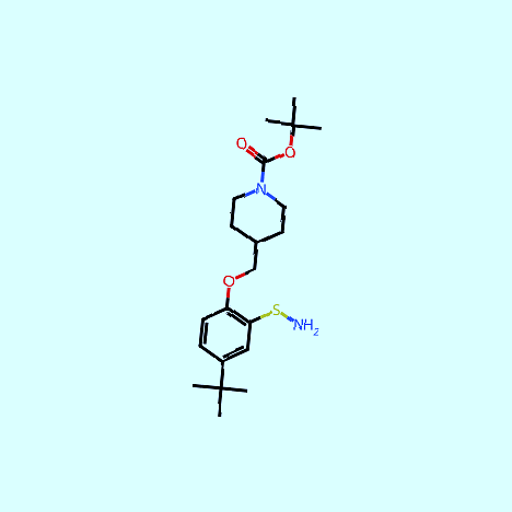 CC(C)(C)OC(=O)N1CCC(COc2ccc(C(C)(C)C)cc2SN)CC1